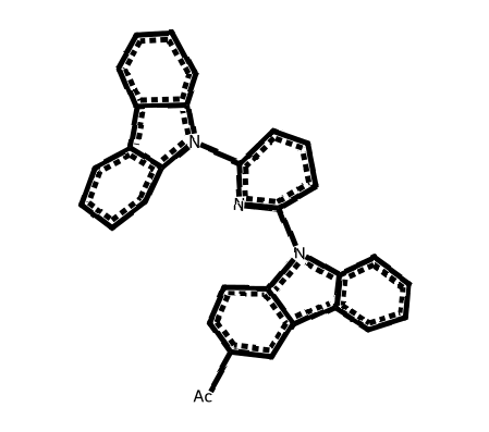 CC(=O)c1ccc2c(c1)c1ccccc1n2-c1cccc(-n2c3ccccc3c3ccccc32)n1